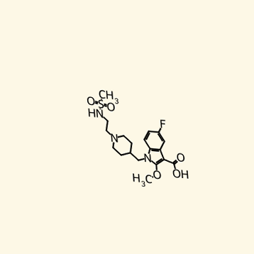 COc1c(C(=O)O)c2cc(F)ccc2n1CC1CCN(CCNS(C)(=O)=O)CC1